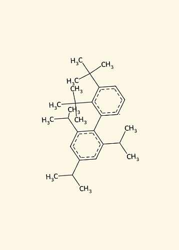 CC(C)c1cc(C(C)C)c(-c2[c]ccc(C(C)(C)C)c2C(C)(C)C)c(C(C)C)c1